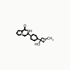 CN1CC(O)(c2ccc(-c3cn4cccc4c(=O)[nH]3)cc2)C1